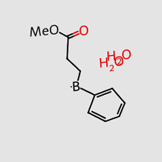 COC(=O)CC[B]c1ccccc1.O.O